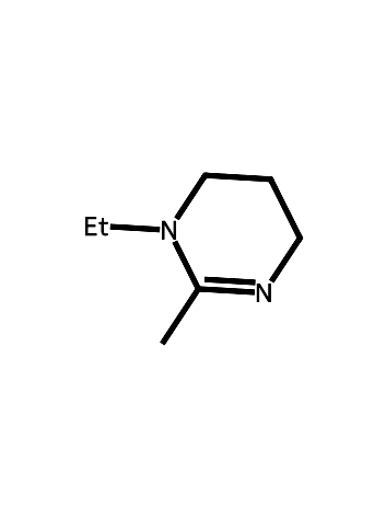 CCN1CCCN=C1C